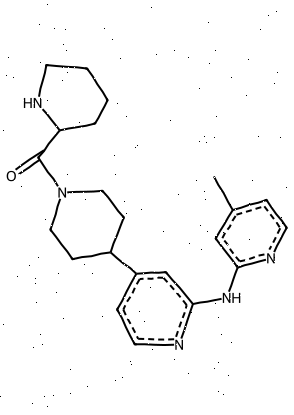 Cc1ccnc(Nc2cc(C3CCN(C(=O)C4CCCCN4)CC3)ccn2)c1